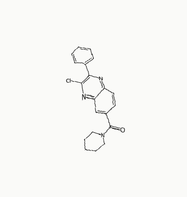 O=C(c1ccc2nc(-c3ccccc3)c(Cl)nc2c1)N1CCCCC1